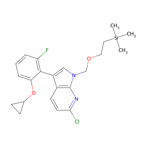 C[Si](C)(C)CCOCn1cc(-c2c(F)cccc2OC2CC2)c2ccc(Cl)nc21